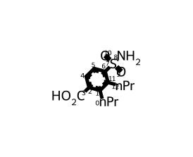 CCCc1c(C(=O)O)ccc(S(N)(=O)=O)c1CCC